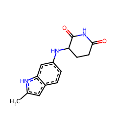 Cc1cc2ccc(NC3CCC(=O)NC3=O)cc2[nH]1